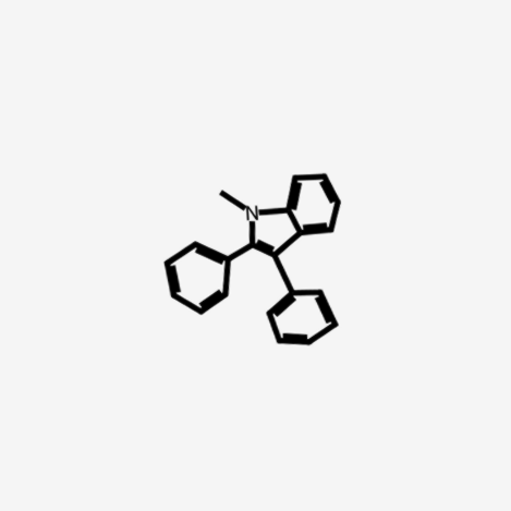 Cn1c(-c2ccccc2)c(-c2ccccc2)c2ccccc21